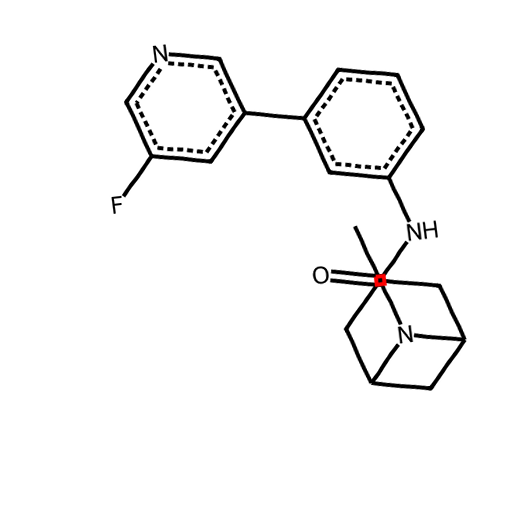 CC1CC2CC(C1)N2C(=O)Nc1cccc(-c2cncc(F)c2)c1